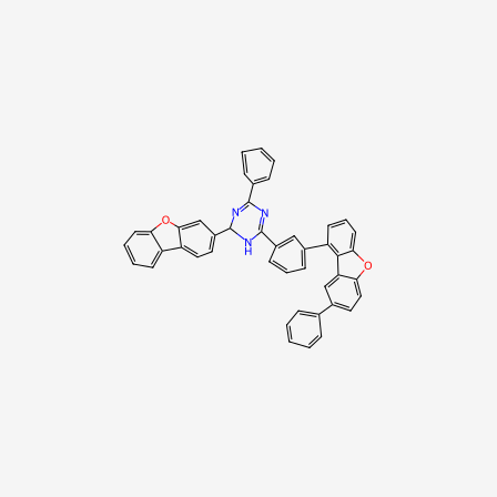 c1ccc(C2=NC(c3ccc4c(c3)oc3ccccc34)NC(c3cccc(-c4cccc5oc6ccc(-c7ccccc7)cc6c45)c3)=N2)cc1